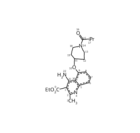 CCOC(=O)c1c(C)nc2cccc(OC3CCN(C(=O)C(C)C)CC3)c2c1N